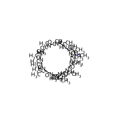 C/C=C/C[C@@H](C)[C@@H](O)[C@H]1C(=O)N[C@@H](CC)C(=O)N(C)CC(=O)N(C)CC(=O)N[C@@H](C(C)C)C(=O)N(C)[C@@H](C)C(=O)N[C@@H](CC(C)C)C(=O)N[C@H](C)C(=O)N(C)[C@@H](CC(C)C)C(=O)N(C)[C@H](CC(C)C)C(=O)N(C)[C@@H](C(C)C)C(=O)N1C